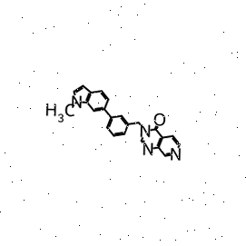 Cn1ccc2ccc(-c3cccc(Cn4cnc5cnccc5c4=O)c3)cc21